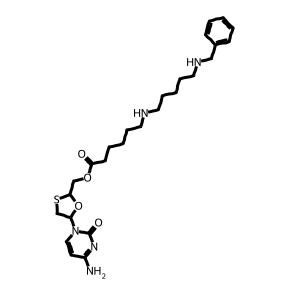 Nc1ccn(C2CSC(COC(=O)CCCCCNCCCCCNCc3ccccc3)O2)c(=O)n1